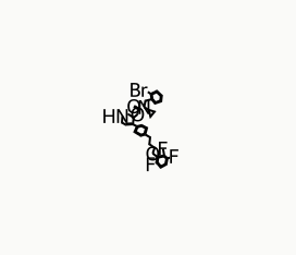 O=C(OC1CNCC=C1c1ccc(CCCOc2c(F)ccc(F)c2F)cc1)N(Cc1ccccc1Br)C1CC1